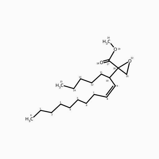 CCCCCCCC/C=C\C(CCCCC)C1(C(=O)OC)CO1